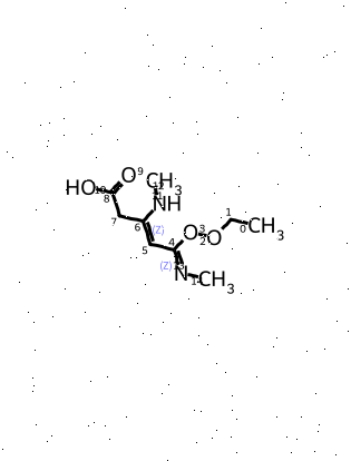 CCOOC(/C=C(/CC(=O)O)NC)=N\C